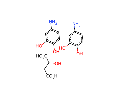 Nc1ccc(O)c(O)c1.Nc1ccc(O)c(O)c1.O=C(O)CC(O)C(=O)O